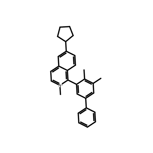 Cc1cc(-c2ccccc2)cc(-c2c3ccc(C4CCCC4)cc3cc[n+]2C)c1C